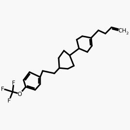 C=CCCC1=CCC(C2CCC(CCc3ccc(OC(F)(F)F)cc3)CC2)CC1